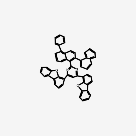 c1ccc(-c2cccc3c(-c4nc(-c5cccc6c5oc5ccccc56)cc(-c5cccc6c5oc5ccccc56)n4)c(-c4cccc5ccccc45)ccc23)cc1